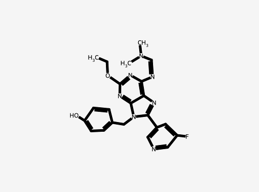 CCOc1nc(/N=C\N(C)C)c2nc(-c3cncc(F)c3)n(Cc3ccc(O)cc3)c2n1